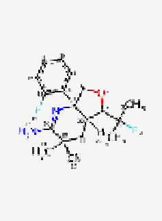 CC(C)(F)C1OC[C@]2(c3ccccc3F)N=C(N)[C@](C)(C#N)C[C@H]12